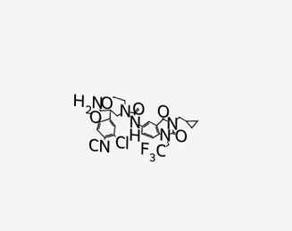 N#Cc1ccc(C2(C(N)=O)CN(C(=O)Nc3ccc4c(c3)c(=O)n(CC3CC3)c(=O)n4CC(F)(F)F)CCO2)cc1Cl